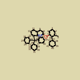 Cc1cccc(Oc2ccc3cccc(C(c4ccccc4)(c4ccccc4)c4ccccc4)c3n2)c1-c1ccccc1